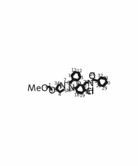 COCO[C@H]1CCN(C[C@H](c2ccccc2)N(C)c2ccc(Cl)c(CNC(=O)c3ccccc3)c2)C1